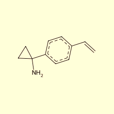 C=Cc1ccc(C2(N)CC2)cc1